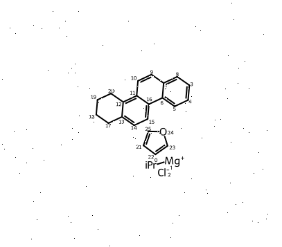 C[CH](C)[Mg+].[Cl-].c1ccc2c(c1)ccc1c3c(ccc12)CCCC3.c1ccoc1